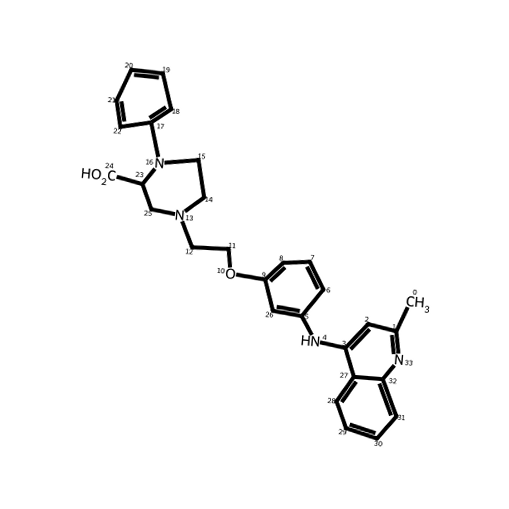 Cc1cc(Nc2cccc(OCCN3CCN(c4ccccc4)C(C(=O)O)C3)c2)c2ccccc2n1